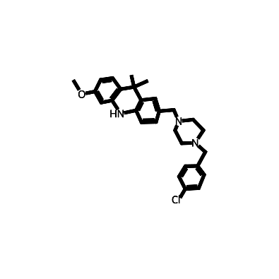 COc1ccc2c(c1)Nc1ccc(CN3CCN(Cc4ccc(Cl)cc4)CC3)cc1C2(C)C